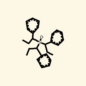 CCC(c1ccccc1)[Si]([O])(C(CC)c1ccccc1)C(CC)c1ccccc1